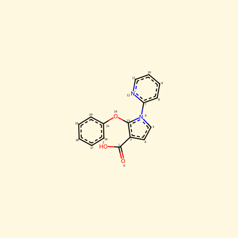 O=C(O)c1ccn(-c2ccccn2)c1Oc1ccccc1